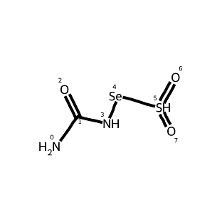 NC(=O)N[Se][SH](=O)=O